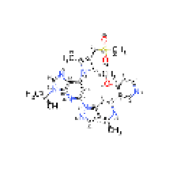 COc1ccncc1-c1cc2c(cnn2-c2cc(N3C[C@H](CS(C)(=O)=O)[C@H]3C)c3ncn(C(C)C)c3n2)c(C)n1